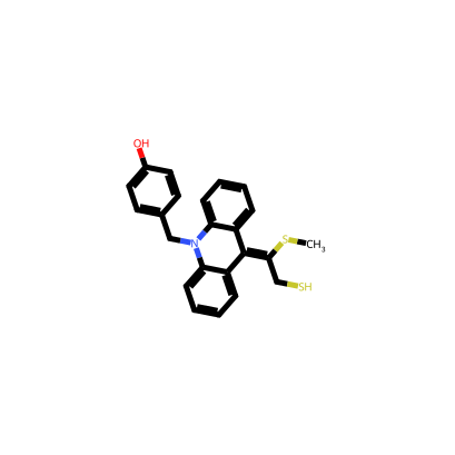 CSC(CS)=C1c2ccccc2N(Cc2ccc(O)cc2)c2ccccc21